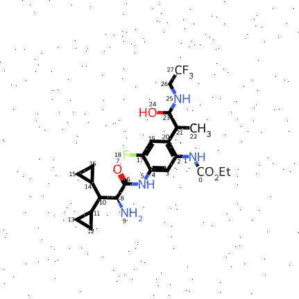 CCOC(=O)Nc1cc(NC(=O)[C@@H](N)C(C2CC2)C2CC2)c(F)cc1C(C)C(O)NCC(F)(F)F